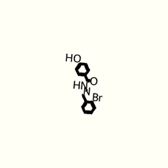 O=C(NN=Cc1ccccc1Br)c1ccc(O)cc1